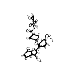 O=c1cc(-c2ccc(C(F)(F)F)cc2O[C@H]2C[C@@H](C(=O)NS(=O)(=O)C3CC3)C2)oc2c(Cl)cccc12